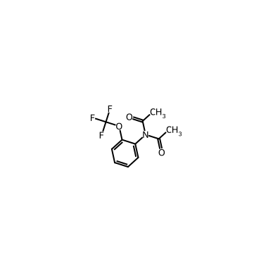 CC(=O)N(C(C)=O)c1ccccc1OC(F)(F)F